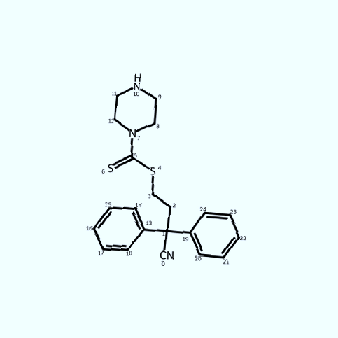 N#CC(CCSC(=S)N1CCNCC1)(c1ccccc1)c1ccccc1